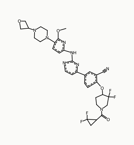 COc1nc(Nc2nccc(-c3ccc(OC4CCN(C(=O)C5CC5(F)F)CC4(F)F)c(C#N)c3)n2)ccc1N1CCN(C2COC2)CC1